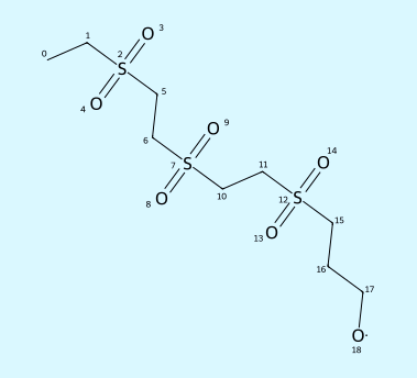 CCS(=O)(=O)CCS(=O)(=O)CCS(=O)(=O)CCC[O]